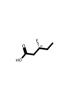 CC[C@@H](F)CC(=O)O